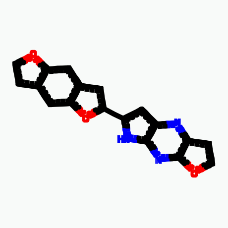 c1cc2cc3oc(-c4cc5nc6ccoc6nc5[nH]4)cc3cc2o1